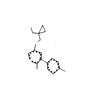 Cl.Cl.NCC1(COc2cnc(F)c(-c3ccc(N)cc3)c2)CC1